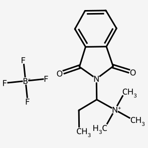 CCC(N1C(=O)c2ccccc2C1=O)[N+](C)(C)C.F[B-](F)(F)F